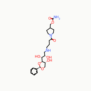 NC(=O)OCC1CCN(C(=O)CCCNC[C@H](O)[C@@H](O)[C@@H]2O[C@H](c3ccccc3)OC[C@H]2O)CC1